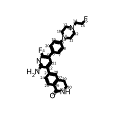 Nc1nc(F)c(-c2ccc(N3CCN(CCF)CC3)cc2)cc1-c1ccc2c(c1)CCNC2=O